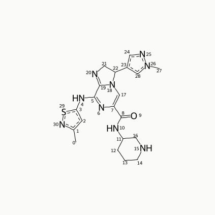 Cc1cc(NC2=NC(C(=O)NC3CCCNC3)=CN3C2=NCC3c2cnn(C)c2)sn1